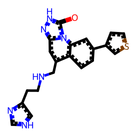 O=c1[nH]nc2cc(CNCCc3c[nH]cn3)c3ccc(-c4ccsc4)cc3n12